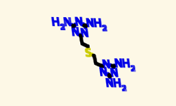 Nc1nc(N)nc(CCSCCc2nc(N)nc(N)n2)n1